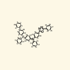 c1ccc(-c2ccc(C(c3ccccc3)c3ccc(N(c4ccccc4)c4ccc(-c5nnc(-c6ccccc6)o5)cc4)cc3)cc2)cc1